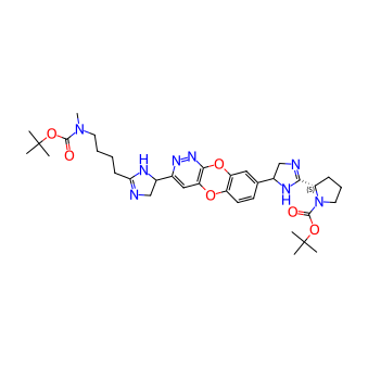 CN(CCCCC1=NCC(c2cc3c(nn2)Oc2cc(C4CN=C([C@@H]5CCCN5C(=O)OC(C)(C)C)N4)ccc2O3)N1)C(=O)OC(C)(C)C